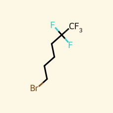 FC(F)(F)C(F)(F)CCCCBr